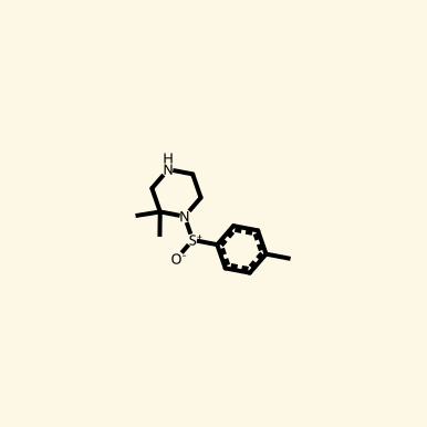 Cc1ccc([S+]([O-])N2CCNCC2(C)C)cc1